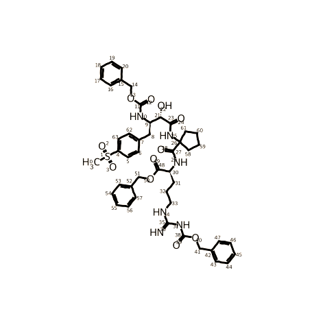 CS(=O)(=O)c1ccc(C[C@@H](NC(=O)OCc2ccccc2)[C@H](O)C(=O)NC2(C(=O)N[C@@H](CCCNC(=N)NC(=O)OCc3ccccc3)C(=O)OCc3ccccc3)CCCC2)cc1